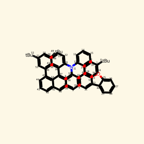 CC(C)(C)c1ccc(-c2ccccc2N(c2ccccc2-c2cccc3c2oc2ccccc23)c2ccccc2-c2cccc3cccc(-c4cc(C(C)(C)C)cc(C(C)(C)C)c4)c23)cc1